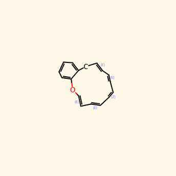 C1=C\C=C\C=C\Oc2ccccc2C/C=C/C=C/1